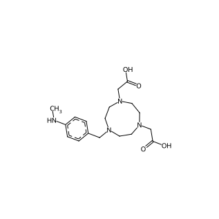 CNc1ccc(CN2CCN(CC(=O)O)CCN(CC(=O)O)CC2)cc1